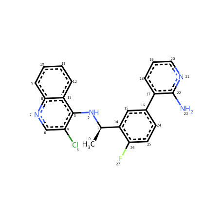 C[C@@H](Nc1c(Cl)cnc2ccccc12)c1cc(-c2cccnc2N)ccc1F